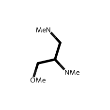 CNCC(COC)NC